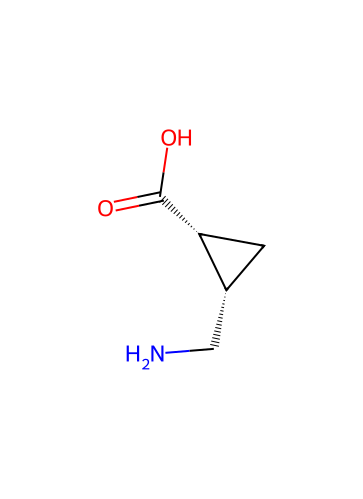 NC[C@H]1C[C@H]1C(=O)O